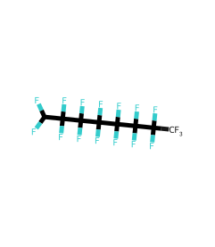 FC(F)C(F)(F)C(F)(F)C(F)(F)C(F)(F)C(F)(F)C(F)(F)C(F)(F)F